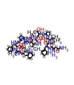 CC(C)[C@H](NC(=O)[C@H](CC(N)=O)NC(=O)[C@@H](NC(=O)[C@@H]1CCCN1C(=O)[C@@H](NC(=O)[C@H](Cc1ccccc1)NC(=O)[C@@H](N)CC(N)=O)C(C)C)C(C)O)C(=O)NCC(=O)N1CCC[C@H]1C(=O)N[C@@H](Cc1ccccc1)C(=O)N[C@@H](C)C(=O)N[C@@H](Cc1ccccc1)C(N)=O